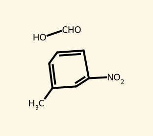 Cc1cccc([N+](=O)[O-])c1.O=CO